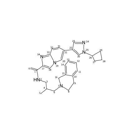 C=C(NCC(C)CN1CCc2ccccc2C1)c1cn2cc(-c3cnn(C4CCC4)c3)ccc2n1